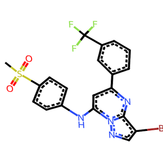 CS(=O)(=O)c1ccc(Nc2cc(-c3cccc(C(F)(F)F)c3)nc3c(Br)cnn23)cc1